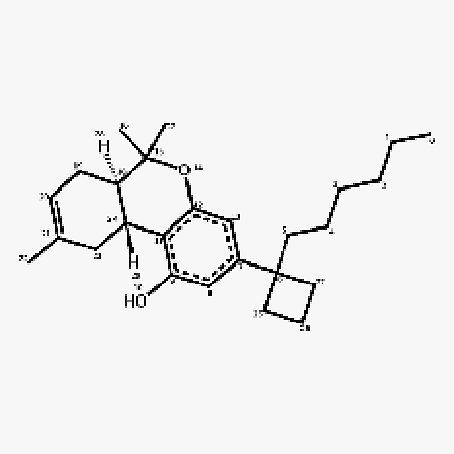 CCCCCCC1(c2cc(O)c3c(c2)OC(C)(C)[C@@H]2CC=C(C)C[C@@H]32)CCC1